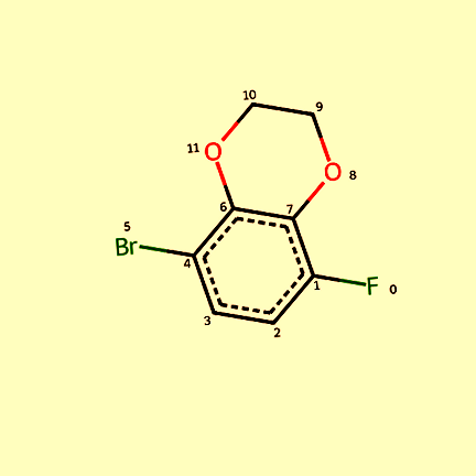 Fc1ccc(Br)c2c1OCCO2